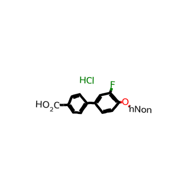 CCCCCCCCCOc1ccc(-c2ccc(C(=O)O)cc2)cc1F.Cl